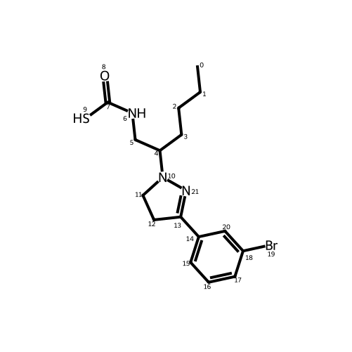 CCCCC(CNC(=O)S)N1CCC(c2cccc(Br)c2)=N1